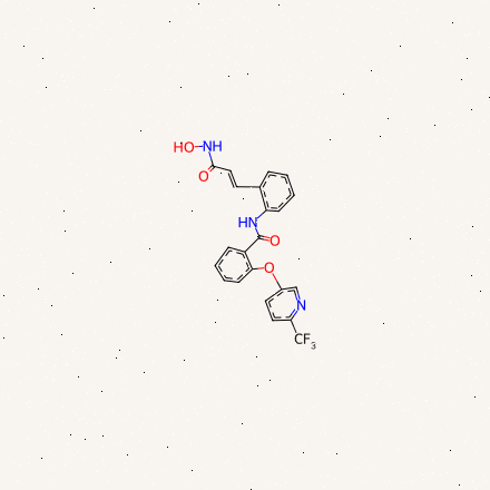 O=C(/C=C/c1ccccc1NC(=O)c1ccccc1Oc1ccc(C(F)(F)F)nc1)NO